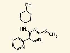 CSc1ncc(-c2ccccn2)c(NC2CCC(O)CC2)n1